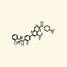 CN(C)[C@H]1CC[C@H](Nc2ncc3nc(-c4ccc(NS(=O)(=O)c5ccccc5Cl)c(F)c4)cc(C(F)F)c3n2)CC1